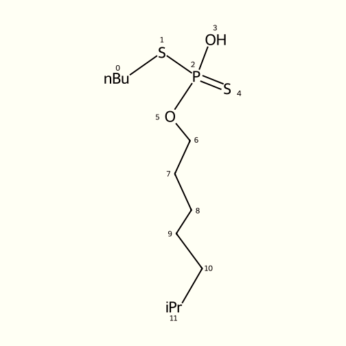 CCCCSP(O)(=S)OCCCCCC(C)C